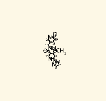 COc1cc(-n2cccn2)ncc1C(=O)NCc1ccc(Cl)nc1